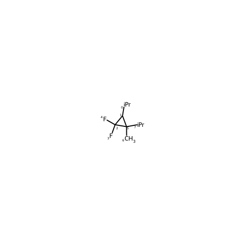 CC(C)C1C(F)(F)C1(C)C(C)C